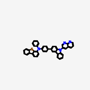 c1ccc(N(c2ccc(-c3ccc4c(c3)c3ccccc3n4-c3cnc4ncccc4c3)cc2)c2cccc3c2sc2ccccc23)cc1